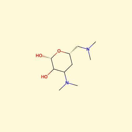 CN(C)C[C@@H]1CC(N(C)C)C(O)[C@H](O)O1